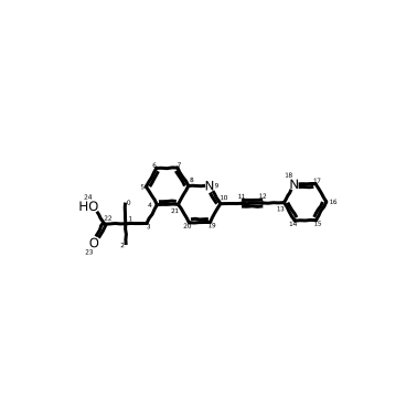 CC(C)(Cc1cccc2nc(C#Cc3ccccn3)ccc12)C(=O)O